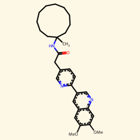 COc1cc2cc(-c3ccc(CC(=O)NC4(C)CCCCCCCCCC4)cn3)cnc2cc1OC